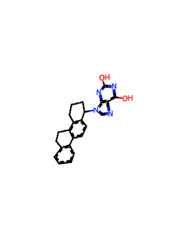 Oc1nc(O)c2ncn(C3CCCc4c3ccc3c4CCc4ccccc4-3)c2n1